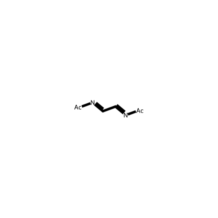 CC(=O)N=CC=NC(C)=O